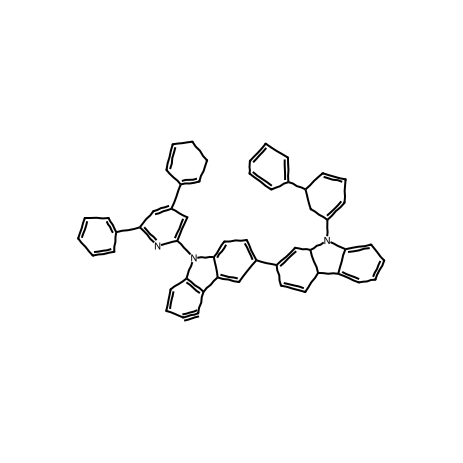 c1ccc2c(c#1)c1cc(C3=CC4C(C=C3)c3ccccc3N4C3=CC=CC(c4ccccc4)C3)ccc1n2-c1cc(C2=CCCC=C2)cc(-c2ccccc2)n1